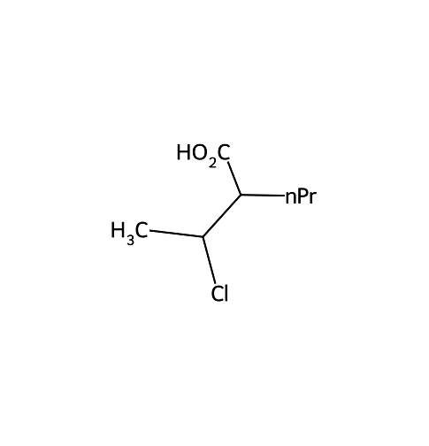 CCCC(C(=O)O)C(C)Cl